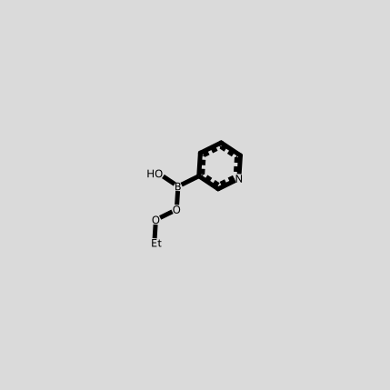 CCOOB(O)c1cccnc1